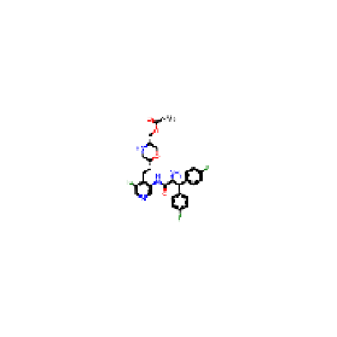 CNC(=O)OC[C@@H]1CO[C@H](CCc2c(F)cncc2NC(=O)[C@@H](N)C(c2ccc(F)cc2)c2ccc(F)cc2)CN1